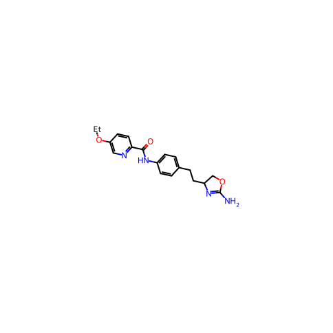 CCOc1ccc(C(=O)Nc2ccc(CCC3COC(N)=N3)cc2)nc1